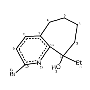 CCC1(O)CCCCc2ccc(Br)nc21